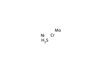 S.[Cr].[Mo].[Ni]